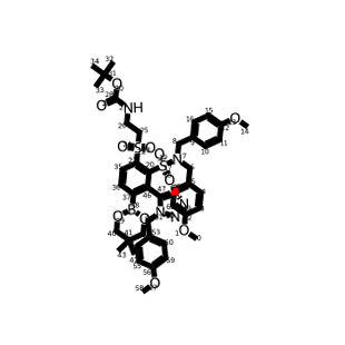 COc1ccc(CN(Cc2ccc(OC)cc2)S(=O)(=O)c2c(S(=O)(=O)CCNC(=O)OC(C)(C)C)ccc(B3OCC(C)(C)CO3)c2-c2nnnn2Cc2ccc(OC)cc2)cc1